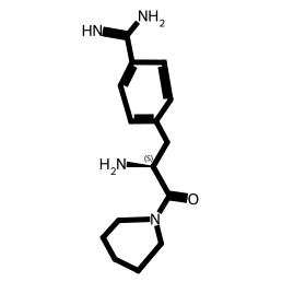 N=C(N)c1ccc(C[C@H](N)C(=O)N2CCCCC2)cc1